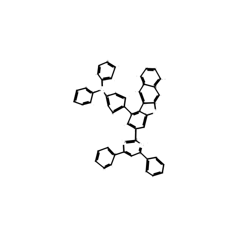 c1ccc(-c2cc(-c3ccccc3)nc(-c3cc(-c4ccc(N(c5ccccc5)c5ccccc5)cc4)c4c(c3)oc3cc5ccccc5cc34)n2)cc1